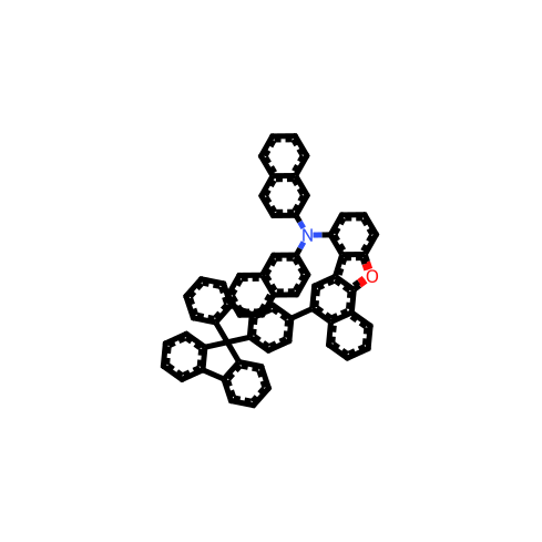 c1ccc2c(c1)-c1ccccc1C21c2ccccc2-c2cc(-c3cc4c(oc5cccc(N(c6ccc7ccccc7c6)c6ccc7ccccc7c6)c54)c4ccccc34)ccc21